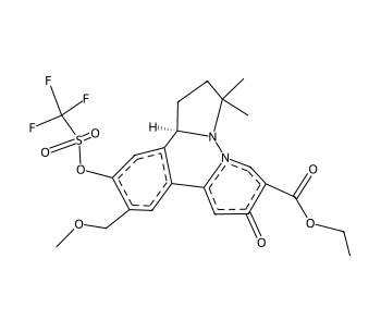 CCOC(=O)c1cn2c(cc1=O)-c1cc(COC)c(OS(=O)(=O)C(F)(F)F)cc1[C@H]1CCC(C)(C)N12